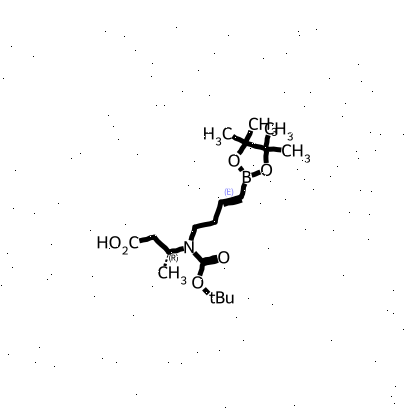 C[C@H](CC(=O)O)N(CC/C=C/B1OC(C)(C)C(C)(C)O1)C(=O)OC(C)(C)C